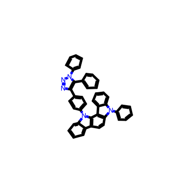 c1ccc(-c2c(-c3ccc(-n4c5ccccc5c5ccc6c(c7ccccc7n6-c6ccccc6)c54)cc3)nnn2-c2ccccc2)cc1